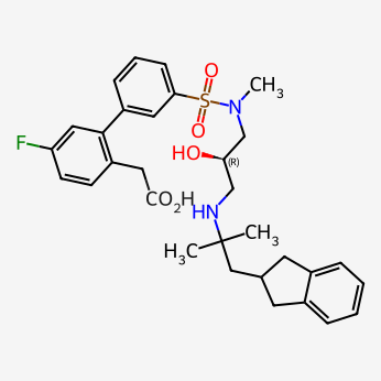 CN(C[C@H](O)CNC(C)(C)CC1Cc2ccccc2C1)S(=O)(=O)c1cccc(-c2cc(F)ccc2CC(=O)O)c1